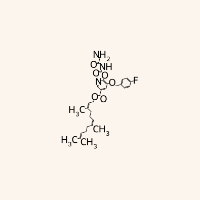 CC(C)=CCCC(C)=CCCC(C)=CCOC(=O)c1cnc(OC(=O)NC(=O)CN)c(OCc2ccc(F)cc2)c1